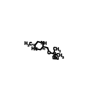 C[C@@H]1CN[C@@H](CO[Si](C)(C)C(C)(C)C)CN1